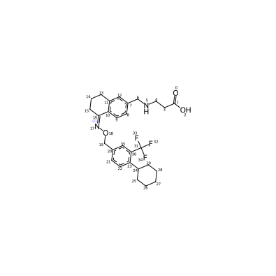 O=C(O)CCNCc1ccc2c(c1)CCC/C2=N/OCc1ccc(C2CCCCC2)c(C(F)(F)F)c1